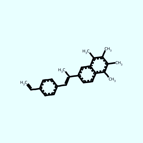 C=Cc1ccc(C=C(C)c2ccc3c(C)c(C)c(C)c(C)c3c2)cc1